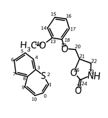 C1=CSc2ccccc2C=C1.COc1ccccc1OCC1CNC(=O)O1